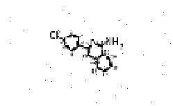 Nc1nc(-c2ccc(Cl)cc2)cc2ccccc12